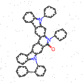 O=c1c2cc3c(cc2c2cc4c5ccccc5n(-c5ccccc5)c4cc2n1-c1ccccc1)c1ccccc1n3-c1ccccc1-c1ccccc1